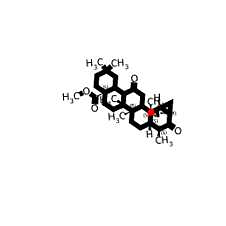 COC(=O)[C@]12CCC(C)(C)CC1C1C(=O)CC3[C@@]4(C)[C@H]5C[C@@]5(C#N)C(=O)[C@@H](C)[C@@H]4CC[C@@]3(C)[C@]1(C)CC2